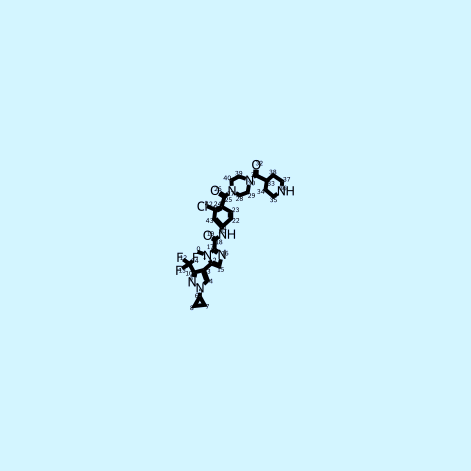 Cn1c(-c2cn(C3CC3)nc2C(F)(F)F)cnc1C(=O)Nc1ccc(C(=O)N2CCN(C(=O)C3CCNCC3)CC2)c(Cl)c1